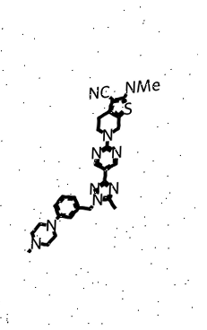 CNc1sc2c(c1C#N)CCN(c1ncc(-c3nc(C)n(Cc4cccc(N5CCN(C)CC5)c4)n3)cn1)C2